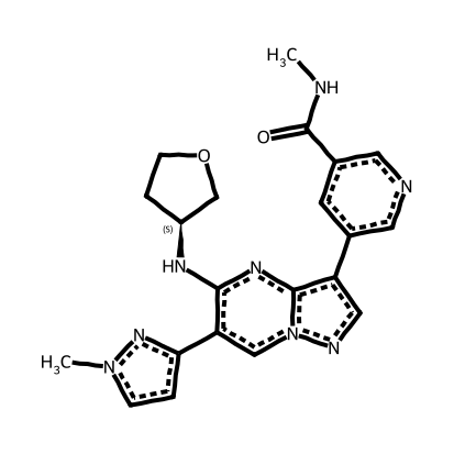 CNC(=O)c1cncc(-c2cnn3cc(-c4ccn(C)n4)c(N[C@H]4CCOC4)nc23)c1